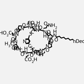 CCCCCCCCCCCCCCCCCC(=O)N[C@H]1C[C@H]2C(=O)N[C@@H](CCC(N)=O)C(=O)N[C@H]3CSCc4cncc(c4)CSC[C@H](NC(=O)[C@H](CCC(=O)O)NC(=O)CNC(=O)[C@H]([C@@H](C)O)NC(=O)[C@H](CCC(=O)O)NC(=O)[C@@H]4CCCN4C(=O)[C@H](CC(=O)O)NC3=O)C(=O)N[C@@H](CC(C)C)C(=O)N3CCC[C@@H]3C(=O)N2C1